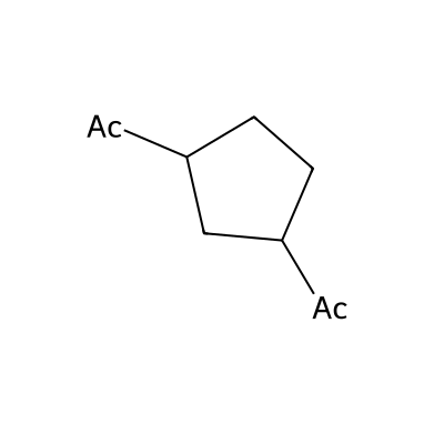 CC(=O)C1CCC(C(C)=O)C1